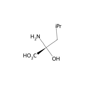 CC(C)C[C@@](N)(O)C(=O)O